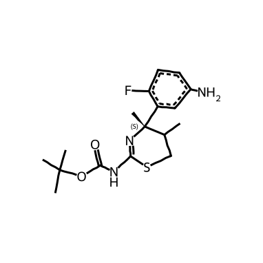 CC1CSC(NC(=O)OC(C)(C)C)=N[C@]1(C)c1cc(N)ccc1F